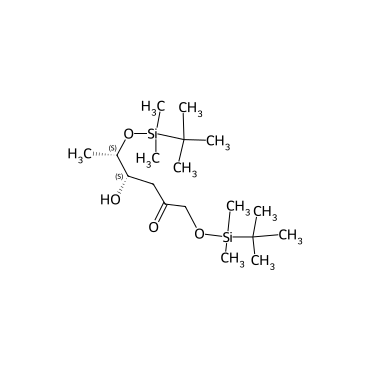 C[C@H](O[Si](C)(C)C(C)(C)C)[C@@H](O)CC(=O)CO[Si](C)(C)C(C)(C)C